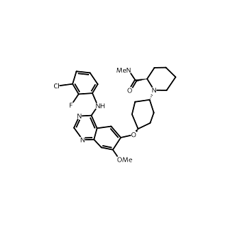 CNC(=O)[C@H]1CCCCN1[C@H]1CC[C@H](Oc2cc3c(Nc4cccc(Cl)c4F)ncnc3cc2OC)CC1